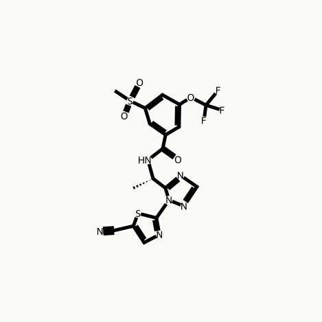 C[C@H](NC(=O)c1cc(OC(F)(F)F)cc(S(C)(=O)=O)c1)c1ncnn1-c1ncc(C#N)s1